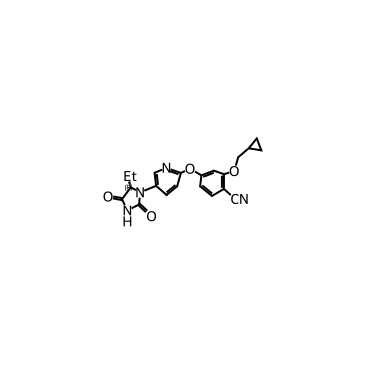 CC[C@@H]1C(=O)NC(=O)N1c1ccc(Oc2ccc(C#N)c(OCC3CC3)c2)nc1